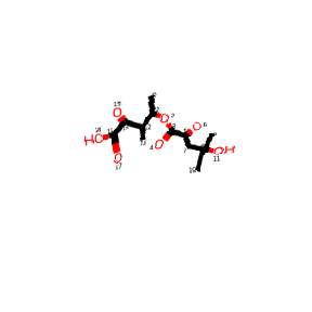 CC(OC(=O)C(=O)CC(C)(C)O)C(C)C(=O)C(=O)O